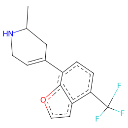 CC1CC(c2ccc(C(F)(F)F)c3ccoc23)=CCN1